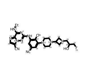 CCNc1nc(Nc2cc(C#N)cc(N3CCN(C4CN(CC(O)CF)C4)CC3)c2Cl)nn2c(C#N)cnc12